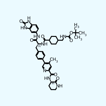 Cc1cc(C(=O)N[C@@H]2CCCNC2=O)ncc1-c1ccc(C[C@H](NC(=O)C2CCC(CNC(=O)OC(C)(C)C)CC2)C(=O)Nc2ccc3[nH]c(=O)[nH]c3c2)cc1